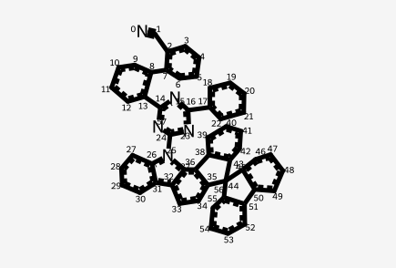 N#Cc1ccccc1-c1ccccc1-c1nc(-c2ccccc2)nc(-n2c3ccccc3c3ccc4c(c32)-c2ccccc2C42c3ccccc3-c3ccccc32)n1